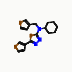 c1cc(CN(c2nnc(-c3ccsc3)s2)C2CCCCC2)cs1